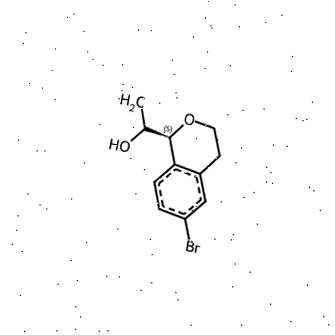 [CH2]C(O)[C@H]1OCCc2cc(Br)ccc21